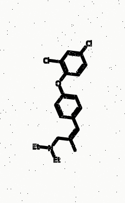 CCN(CC)CC(C)=Cc1ccc(Oc2ccc(Cl)cc2Cl)cc1